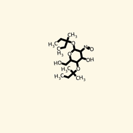 CCC(C)(C)OC1C(CO)OC(OC(C)(CC)CC)C(N=O)C1O